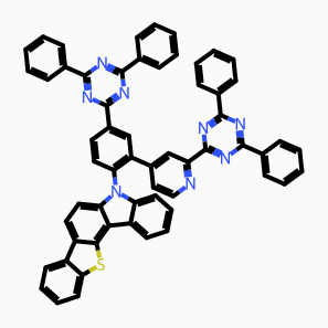 c1ccc(-c2nc(-c3ccccc3)nc(-c3ccc(-n4c5ccccc5c5c6sc7ccccc7c6ccc54)c(-c4ccnc(-c5nc(-c6ccccc6)nc(-c6ccccc6)n5)c4)c3)n2)cc1